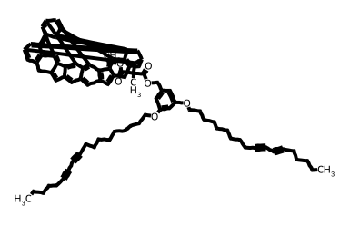 CCCCCC#CC#CCCCCCCCCCOc1cc(COC(=O)C(C)(C(=O)OCC)C2c3cc4c5c6c3c3c2cc2c7c3c3c6c6c5c5c(cc8cc9cc%10cc(c%11c%10c%10c9c(c85)c6c%10c3c%117)C2)C4)cc(OCCCCCCCCCC#CC#CCCCCC)c1